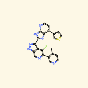 Cc1ccncc1-c1ncc2[nH]nc(-c3nc4c(-c5ccsc5)ccnc4[nH]3)c2c1F